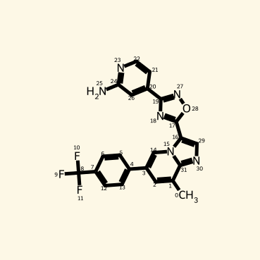 Cc1cc(-c2ccc(C(F)(F)F)cc2)cn2c(-c3nc(-c4ccnc(N)c4)no3)cnc12